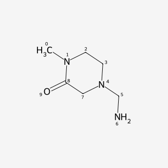 CN1CCN(CN)CC1=O